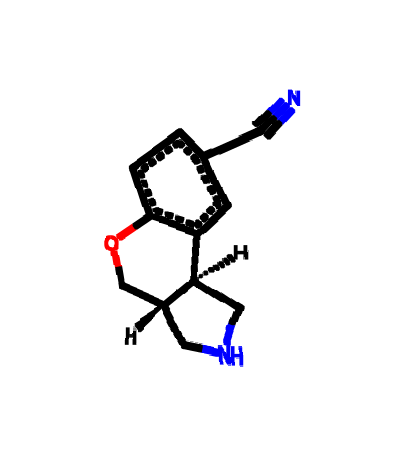 N#Cc1ccc2c(c1)[C@H]1CNC[C@@H]1CO2